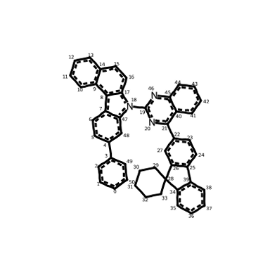 c1ccc(-c2ccc3c4c5ccccc5ccc4n(-c4nc(-c5ccc6c(c5)C5(CCCCC5)c5ccccc5-6)c5ccccc5n4)c3c2)cc1